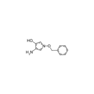 Nc1cn(OCc2ccccc2)cc1O